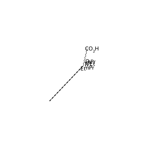 C#CC#CC#CC#CC#CC#CC#CC#CC#CC#CC#CC#CC#CC#CCCC(CCCCCCCCC(=O)O)C(=O)N(CC(CC)CCC)CC(CC)CCC